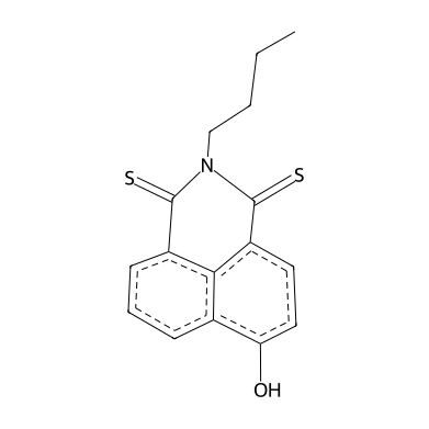 CCCCN1C(=S)c2cccc3c(O)ccc(c23)C1=S